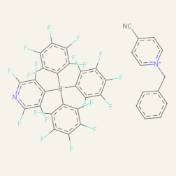 Fc1nc(F)c(F)c([B-](c2c(F)c(F)c(F)c(F)c2F)(c2c(F)c(F)c(F)c(F)c2F)c2c(F)c(F)c(F)c(F)c2F)c1F.N#Cc1cc[n+](Cc2ccccc2)cc1